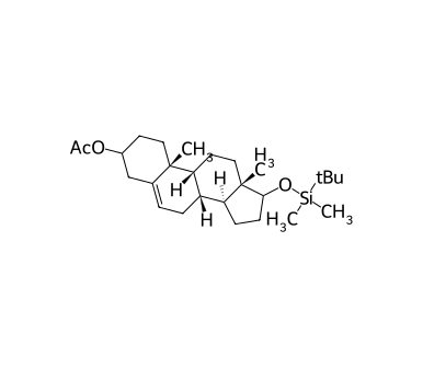 CC(=O)OC1CC[C@@]2(C)C(=CC[C@@H]3[C@H]2CC[C@]2(C)C(O[Si](C)(C)C(C)(C)C)CC[C@@H]32)C1